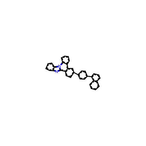 c1ccc2c(-c3ccc(-c4ccc5c(c4)c4ccccc4n4c6ccccc6nc54)cc3)cccc2c1